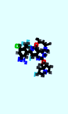 C[C@@H]1C[C@H](C)Oc2nc(-c3cc(N)cc(Cl)c3C(F)(F)F)c(F)c3nc(OC[C@@]45CCCN4C[C@H](F)C5)nc(c23)N1C